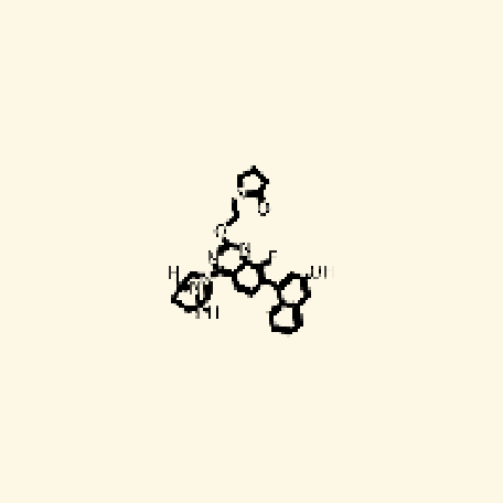 O=C1CCCN1CCOc1nc(N2C[C@H]3CC[C@@H](C2)N3)c2ccc(-c3cc(O)cc4ccccc34)c(F)c2n1